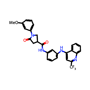 COc1cccc(N2CC(C(=O)Nc3cccc(Nc4cc(C(F)(F)F)nc5ccccc45)c3)CC2=O)c1